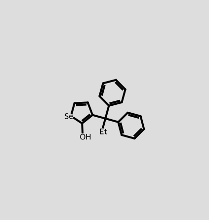 CCC(c1ccccc1)(c1ccccc1)c1cc[se]c1O